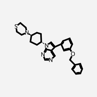 c1ccc(COc2cccc(-c3cn([C@H]4CC[C@H](N5CCSCC5)CC4)c4ncncc34)c2)cc1